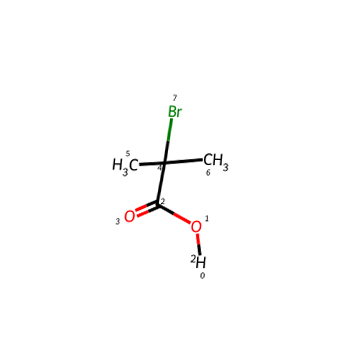 [2H]OC(=O)C(C)(C)Br